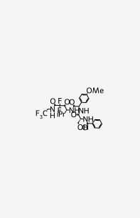 COc1ccc([C@H](NC(=O)[C@H](CO)NC(=O)c2ccccc2)C(=O)N[C@H](C(=O)C(F)(F)C(=O)NCC(F)(F)F)C(C)C)cc1